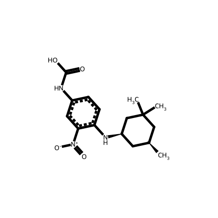 C[C@H]1C[C@@H](Nc2ccc(NC(=O)O)cc2[N+](=O)[O-])CC(C)(C)C1